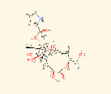 CO[C@H]1C[C@H]2C[C@H](O)[C@@]3(C)[C@H]4O[C@]2(/C(C)=C/[C@@H](C)[C@@H]([C@@H](C)O)OC1=O)[C@@H]3[C@H](O)[C@@H](C)[C@H]4OC(=O)c1ccc[nH]1